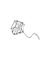 C=CC[C]12[CH]3[CH]4[CH]5[CH]1[Cr]45321678[CH]2[CH]1[CH]6[CH]7[CH]28